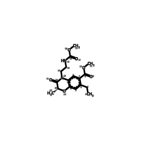 CCc1cc2c(cc1C(=O)OC)N(CCNC(=O)OC)C(=O)[C@@H](C)O2